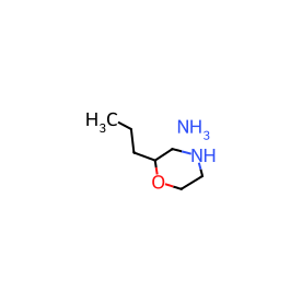 CCCC1CNCCO1.N